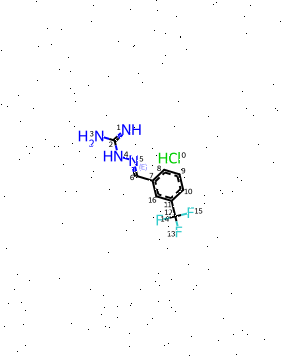 Cl.N=C(N)N/N=C/c1cccc(C(F)(F)F)c1